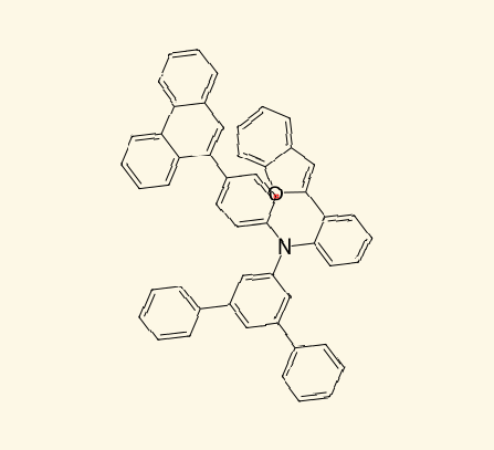 c1ccc(-c2cc(-c3ccccc3)cc(N(c3ccc(-c4cc5ccccc5c5ccccc45)cc3)c3ccccc3-c3cc4ccccc4o3)c2)cc1